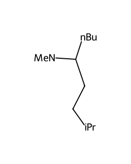 CCCCC(CCC(C)C)NC